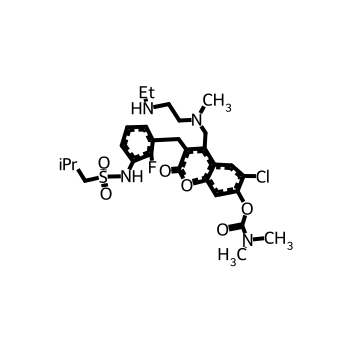 CCNCCN(C)Cc1c(Cc2cccc(NS(=O)(=O)CC(C)C)c2F)c(=O)oc2cc(OC(=O)N(C)C)c(Cl)cc12